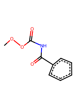 COOC(=O)NC(=O)c1ccccc1